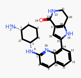 N[C@@H]1CCC[C@H](Nc2ccc3cccc(-c4cc5c([nH]4)CCNC5=O)c3n2)C1